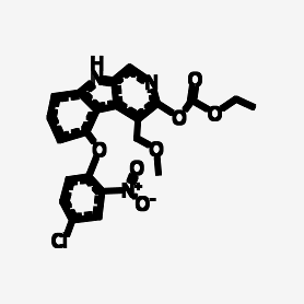 CCOC(=O)Oc1ncc2[nH]c3cccc(Oc4ccc(Cl)cc4[N+](=O)[O-])c3c2c1COC